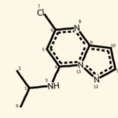 CC(C)Nc1cc(Cl)nc2ccnn12